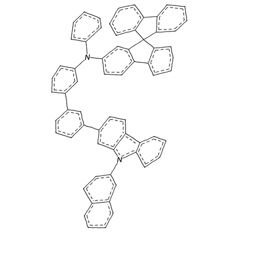 c1ccc(N(c2cccc(-c3cccc(-c4ccc5c6ccccc6n(-c6ccc7ccccc7c6)c5c4)c3)c2)c2ccc3c(c2)C2(c4ccccc4-c4ccccc42)c2ccccc2-3)cc1